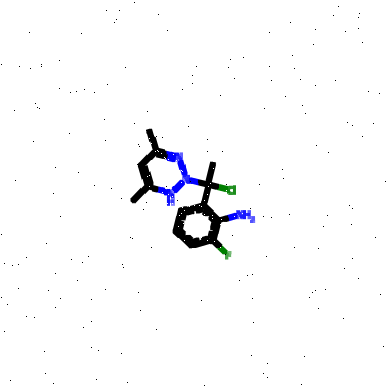 CC1=CC(C)=NN(C(C)(Cl)c2cccc(F)c2N)N1